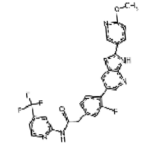 COc1ccc(-c2cc3cc(-c4ccc(CC(=O)Nc5cc(C(F)(F)F)ccn5)cc4F)cnc3[nH]2)cn1